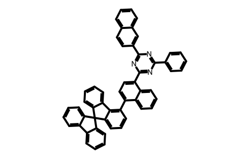 c1ccc(-c2nc(-c3ccc4ccccc4c3)nc(-c3ccc(-c4cccc5c4-c4ccccc4C54c5ccccc5-c5ccccc54)c4ccccc34)n2)cc1